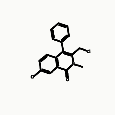 Cn1c(CCl)c(-c2ccccc2)c2ccc(Cl)cc2c1=O